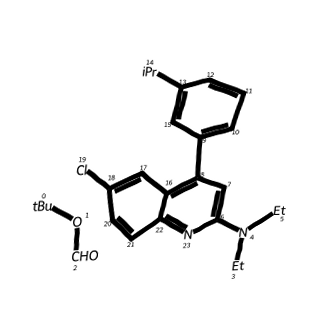 CC(C)(C)OC=O.CCN(CC)c1cc(-c2cccc(C(C)C)c2)c2cc(Cl)ccc2n1